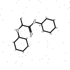 CC(OC1CCCCC1)C(=O)OC1CCCCC1